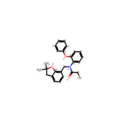 CC1(C)Cc2cccc(CN(C(=O)CBr)c3ccccc3Oc3ccccc3)c2O1